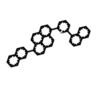 c1cc(-c2cccc3ccccc23)nc(-c2ccc3ccc4c(-c5ccc6ccccc6c5)ccc5ccc2c3c54)c1